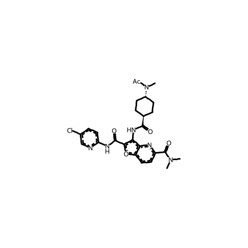 CC(=O)N(C)[C@H]1CC[C@H](C(=O)Nc2c(C(=O)Nc3ccc(Cl)cn3)oc3ccc(C(=O)N(C)C)nc23)CC1